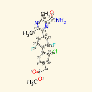 COC(=O)Cc1ccc(-c2c(F)cc(-c3nc(C(N)=O)c(C)nc3C)cc2F)c(Cl)c1